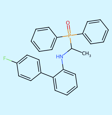 CC(Nc1ccccc1-c1ccc(F)cc1)P(=O)(c1ccccc1)c1ccccc1